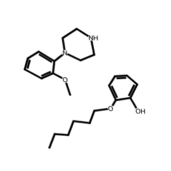 CCCCCCOc1ccccc1O.COc1ccccc1N1CCNCC1